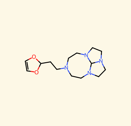 C1=COC(CCN2CCN3CCN4CCN(CC2)C34)O1